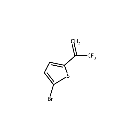 C=C(c1ccc(Br)s1)C(F)(F)F